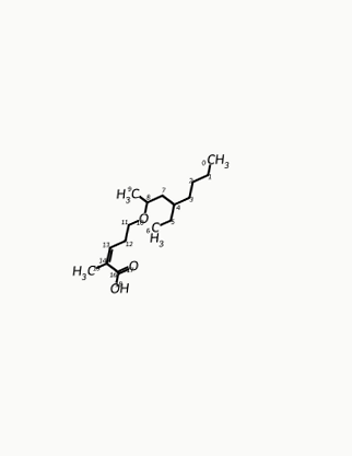 CCCCC(CC)CC(C)OCCC=C(C)C(=O)O